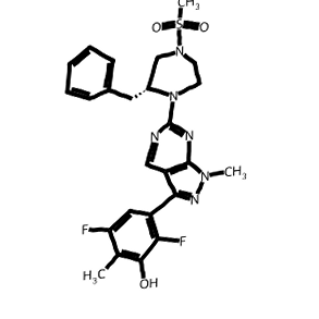 Cc1c(F)cc(-c2nn(C)c3nc(N4CCN(S(C)(=O)=O)C[C@H]4Cc4ccccc4)ncc23)c(F)c1O